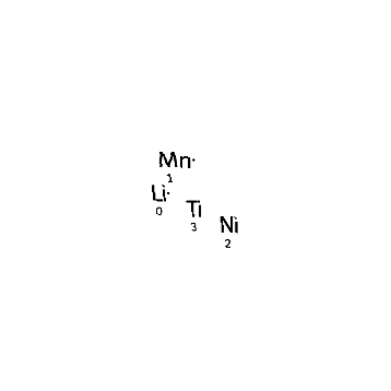 [Li].[Mn].[Ni].[Ti]